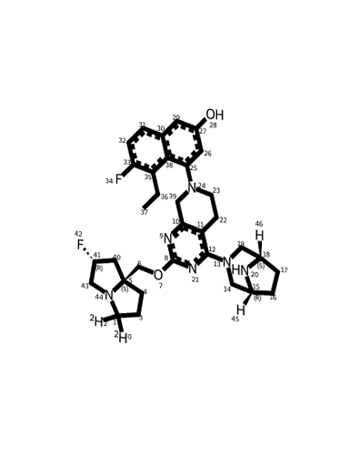 [2H]C1([2H])CC[C@@]2(COc3nc4c(c(N5C[C@H]6CC[C@@H](C5)N6)n3)CCN(c3cc(O)cc5ccc(F)c(CC)c35)C4)C[C@@H](F)CN12